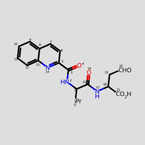 CC(C)C(NC(=O)c1ccc2ccccc2n1)C(=O)NC(CC=O)C(=O)O